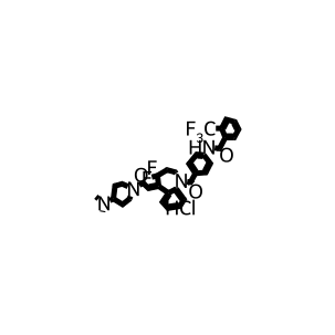 CN(C)C1CCN(C(=O)C=C2c3ccccc3N(C(=O)c3ccc(NC(=O)c4ccccc4C(F)(F)F)cc3)CCC2(F)F)CC1.Cl